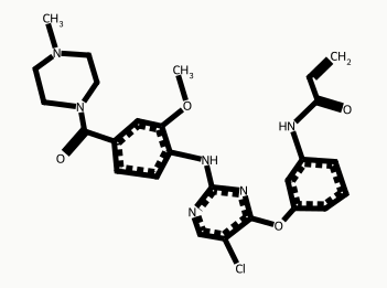 C=CC(=O)Nc1cccc(Oc2nc(Nc3ccc(C(=O)N4CCN(C)CC4)cc3OC)ncc2Cl)c1